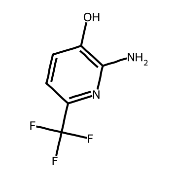 Nc1nc(C(F)(F)F)ccc1O